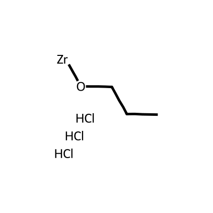 CCC[O][Zr].Cl.Cl.Cl